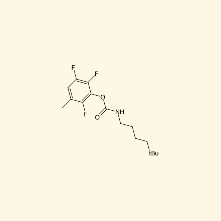 Cc1cc(F)c(F)c(OC(=O)NCCCCC(C)(C)C)c1F